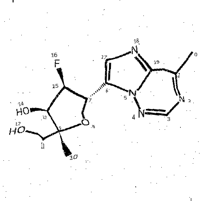 Cc1ncnn2c([C@@H]3O[C@](C)(CO)[C@@H](O)[C@H]3F)cnc12